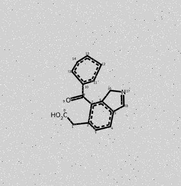 O=C(O)Cc1ccc2c(c1C(=O)c1ccccc1)CN=C2